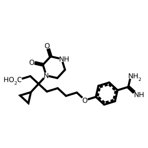 N=C(N)c1ccc(OCCCCC(CC(=O)O)(C2CC2)N2CCNC(=O)C2=O)cc1